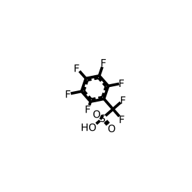 O=S(=O)(O)C(F)(F)c1c(F)c(F)c(F)c(F)c1F